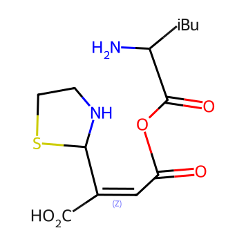 CCC(C)C(N)C(=O)OC(=O)/C=C(/C(=O)O)C1NCCS1